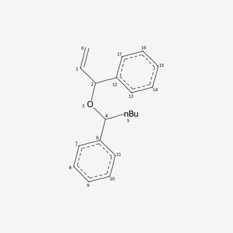 C=CC(OC(CCCC)c1[c]cccc1)c1ccccc1